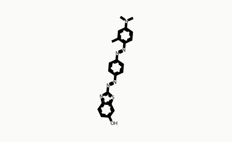 Cc1cc(N(C)C)ccc1N=Nc1ccc(N=Nc2nc3ccc(O)cc3s2)cc1